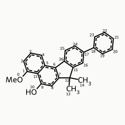 COc1cccc2c3c(cc(O)c12)C(C)(C)c1cc(-c2ccccc2)ccc1-3